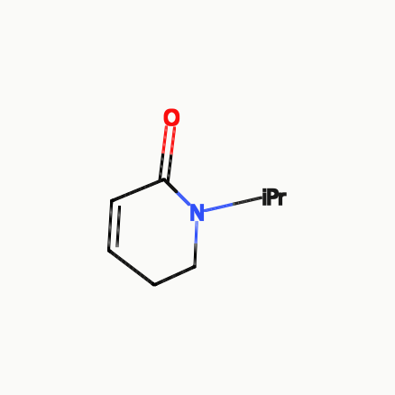 CC(C)N1CCC=CC1=O